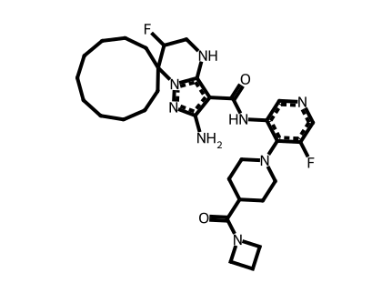 Nc1nn2c(c1C(=O)Nc1cncc(F)c1N1CCC(C(=O)N3CCC3)CC1)NCC(F)C21CCCCCCCCCC1